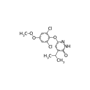 COOc1cc(Cl)c(Oc2cc(C(C)C)c(=O)[nH]n2)c(Cl)c1